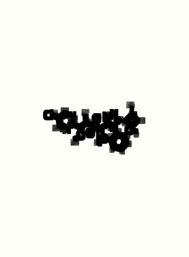 COc1cccc(OC)c1-n1c(NS(=O)(=O)C(C)C(OC)c2ncc(Cl)cn2)nnc1[C@@H]1CC[C@@H]1C